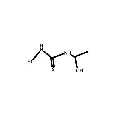 CCNC(=S)NC(C)O